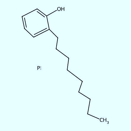 CCCCCCCCCc1ccccc1O.[P]